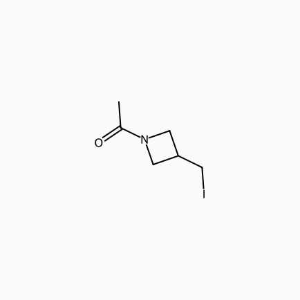 CC(=O)N1CC(CI)C1